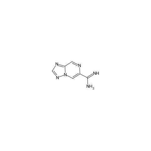 N=C(N)c1cn2ncnc2cn1